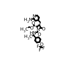 CCOC(=O)[C@@H]1[C@@H](Cc2ccnc(N)c2)C(=O)N1C(=O)N[C@H](C)c1ccc(OC(F)(F)F)cc1